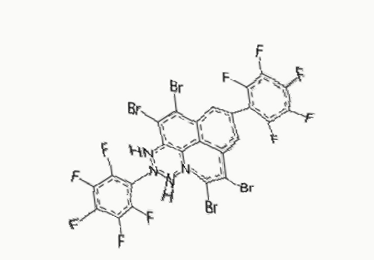 Fc1c(F)c(F)c(-c2cc3c(Br)c(Br)c4[nH]n(-c5c(F)c(F)c(F)c(F)c5F)[nH]n5c(Br)c(Br)c(c2)c3c45)c(F)c1F